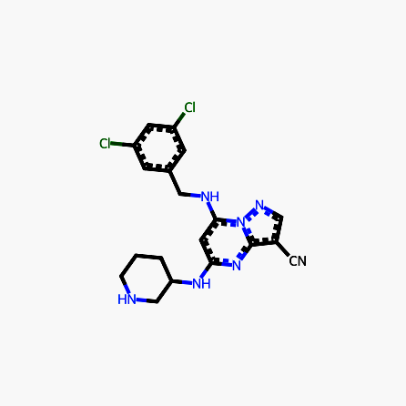 N#Cc1cnn2c(NCc3cc(Cl)cc(Cl)c3)cc(NC3CCCNC3)nc12